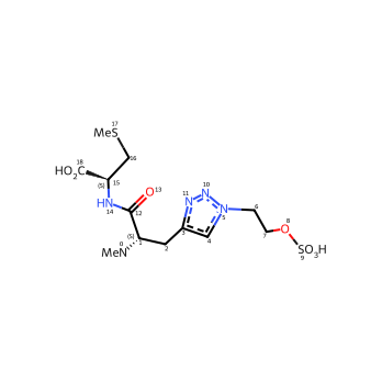 CN[C@@H](Cc1cn(CCOS(=O)(=O)O)nn1)C(=O)N[C@H](CSC)C(=O)O